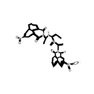 CCC(NC(C)N1C(=O)c2cccc3cc([N+](=O)[O-])cc(c23)C1=O)N(C)C(C)N1C(=O)c2cccc3cc([N+](=O)[O-])cc(c23)C1=O